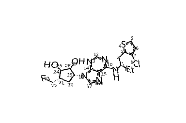 CC[C@H](Cc1sccc1Cl)Nc1ncnc2c1ncn2[C@@H]1C[C@H](CF)[C@@H](O)[C@H]1O